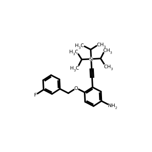 CC(C)[Si](C#Cc1cc(N)ccc1OCc1cccc(F)c1)(C(C)C)C(C)C